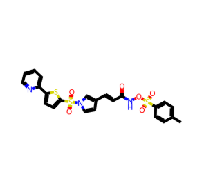 Cc1ccc(S(=O)(=O)ONC(=O)/C=C/c2ccn(S(=O)(=O)c3ccc(-c4ccccn4)s3)c2)cc1